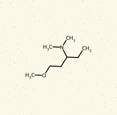 CCC(CCOC)N(C)C